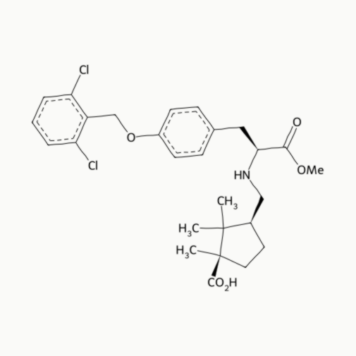 COC(=O)[C@H](Cc1ccc(OCc2c(Cl)cccc2Cl)cc1)NC[C@H]1CC[C@@](C)(C(=O)O)C1(C)C